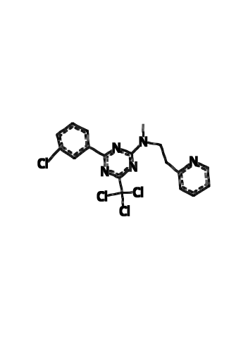 CN(CCc1ccccn1)c1nc(-c2cccc(Cl)c2)nc(C(Cl)(Cl)Cl)n1